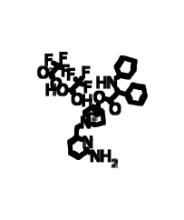 Nc1cccc(C[N+]23CCC(CC2)[C@@H](OC(=O)C(Nc2ccccc2)c2ccccc2)C3)n1.O=C(O)C(F)(F)F.O=C([O-])C(F)(F)F